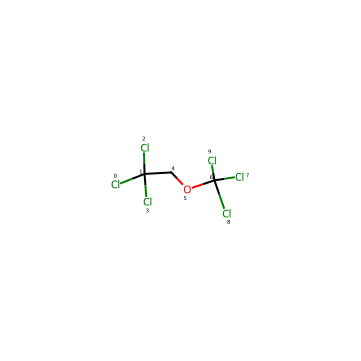 ClC(Cl)(Cl)COC(Cl)(Cl)Cl